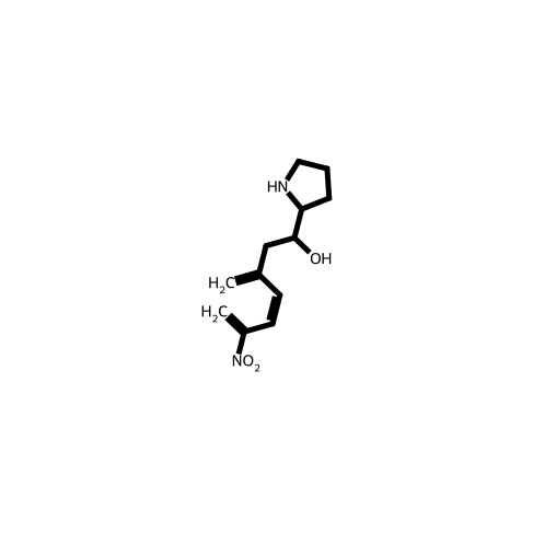 C=C(/C=C\C(=C)[N+](=O)[O-])CC(O)C1CCCN1